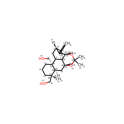 C=C1[C@H]2CC[C@@]34C(C2)[C@]2(CO)CCC[C@@](C)(CO)[C@@H]2C[C@H]3OC(C)(C)O[C@@H]14